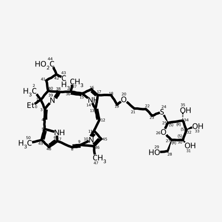 CCC1(C)c2cc3[nH]c(cc4nc(cc5[nH]c(cc5CCOCCCS[C@@H]5O[C@H](CO)[C@@H](O)[C@H](O)[C@H]5O)c(C)c(n2)C1CC(C)C(=O)O)C=C4C)cc3C